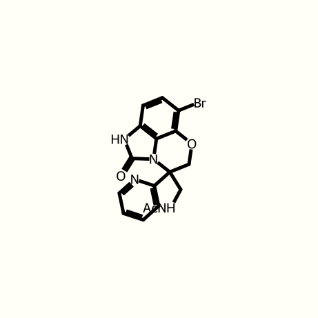 CC(=O)NCC1(c2ccccn2)COc2c(Br)ccc3[nH]c(=O)n1c23